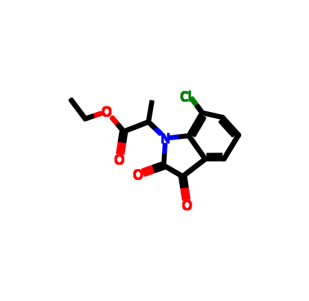 CCOC(=O)C(C)N1C(=O)C(=O)c2cccc(Cl)c21